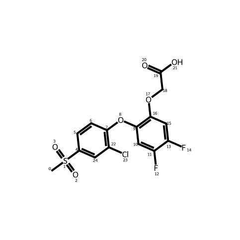 CS(=O)(=O)c1ccc(Oc2cc(F)c(F)cc2OCC(=O)O)c(Cl)c1